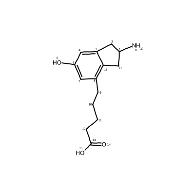 NC1Cc2cc(O)cc(CCCCC(=O)O)c2C1